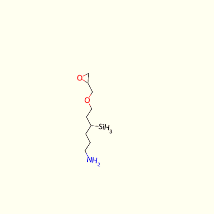 NCCCC([SiH3])CCOCC1CO1